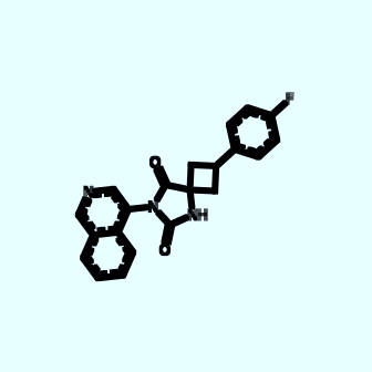 O=C1NC2(CC(c3ccc(F)cc3)C2)C(=O)N1c1cncc2ccccc12